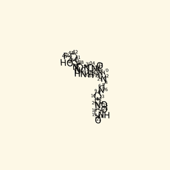 C[C@@H]1CN(CC2CN(c3ccc4c(c3)C(=O)N([C@@H]3CCC(=O)NC3=O)C4)C2)C[C@H](C)N1C(=O)N1CCN2c3cc(-c4cccc(F)c4O)nnc3NC[C@@H]2C1